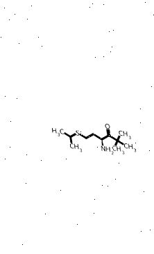 CC(C)SCC[C@H](N)C(=O)C(C)(C)C